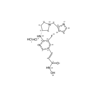 Cl.Cl.O=C(/C=C/c1cnc(N[C@@H]2CCN(Cc3nccs3)C2)c(F)c1)NO